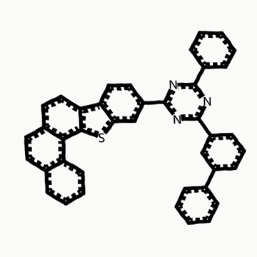 c1ccc(-c2cccc(-c3nc(-c4ccccc4)nc(-c4ccc5c(c4)sc4c5ccc5ccc6ccccc6c54)n3)c2)cc1